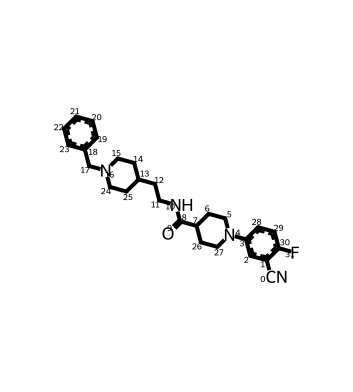 N#Cc1cc(N2CCC(C(=O)NCCC3CCN(Cc4ccccc4)CC3)CC2)ccc1F